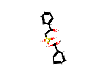 O=C(CS(=O)(=O)OC(=O)c1ccccc1)c1ccccc1